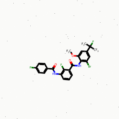 O=C(Nc1cccc(C(=O)Nc2c(Br)cc(C(F)(C(F)(F)F)C(F)(F)F)cc2OC(F)(F)F)c1F)c1ccc(F)cc1